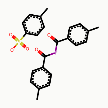 Cc1ccc(C(=O)[I+]C(=O)c2ccc(C)cc2)cc1.Cc1ccc(S(=O)(=O)[O-])cc1